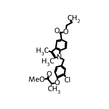 C=CCOC(=O)c1ccc2c(c1)c(C)c(C)n2Cc1ccc(O[C@H](C)C(=O)OC)c(Cl)c1